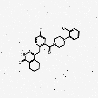 O=C(c1cc(F)ccc1Cc1n[nH]c(=O)c2c1CCCC2)N1CCN(c2ccccc2Cl)CC1